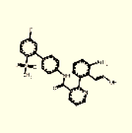 CS(=O)(=O)c1ccc(F)cc1-c1ccc(NC(=O)c2cccnc2-c2cccc([AsH2])c2C=NO)cc1